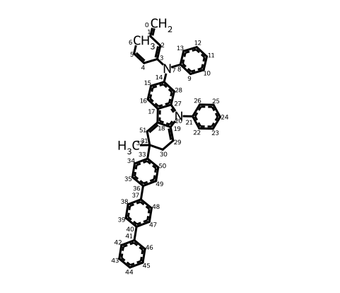 C=C/C=C(\C=C/C)N(c1ccccc1)c1ccc2c3c(n(-c4ccccc4)c2c1)=CCC(C)(c1ccc(-c2ccc(-c4ccccc4)cc2)cc1)C=3